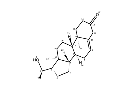 C[C@@H](O)[C@H]1CC[C@H]2[C@@H]3CC=C4CC(=O)CC[C@]4(C)[C@H]3CC[C@]12C